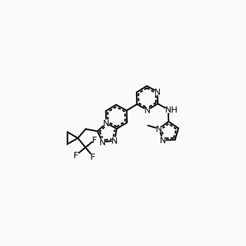 Cn1nccc1Nc1nccc(-c2ccn3c(CC4(C(F)(F)F)CC4)nnc3c2)n1